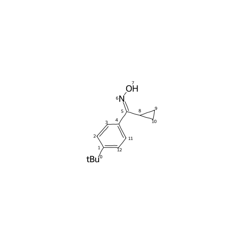 CC(C)(C)c1ccc(C(=NO)C2CC2)cc1